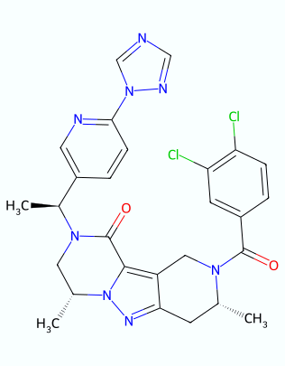 C[C@@H]1Cc2nn3c(c2CN1C(=O)c1ccc(Cl)c(Cl)c1)C(=O)N([C@@H](C)c1ccc(-n2cncn2)nc1)C[C@H]3C